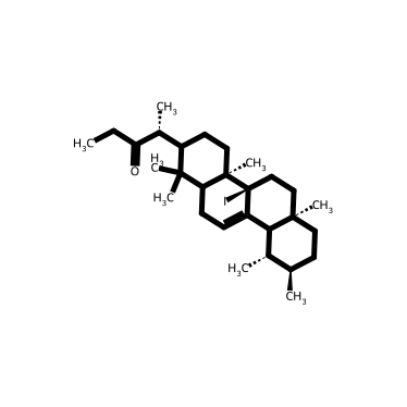 CCC(=O)[C@H](C)C1CC[C@]2(C)C(CC=C3C4[C@@H](C)[C@H](C)CC[C@]4(C)CC[C@]32I)C1(C)C